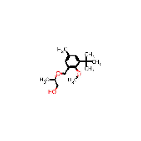 COc1c(COC(C)CO)cc(C)cc1C(C)(C)C